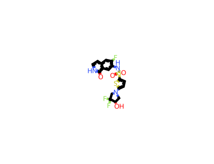 O=c1[nH]ccc2cc(F)c(NS(=O)(=O)c3ccc(N4CC(O)C(F)(F)C4)s3)cc12